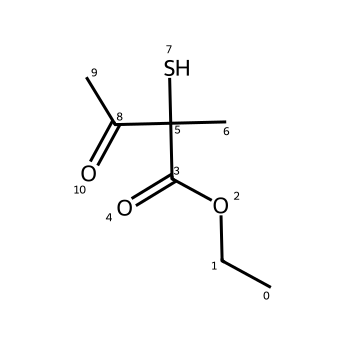 CCOC(=O)C(C)(S)C(C)=O